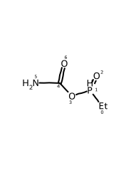 CC[PH](=O)OC(N)=O